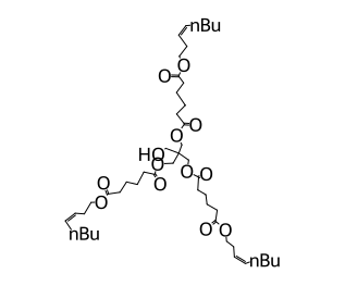 CCCC/C=C\CCOC(=O)CCCCC(=O)OCC(CO)(COC(=O)CCCCC(=O)OCC/C=C\CCCC)COC(=O)CCCCC(=O)OCC/C=C\CCCC